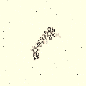 Cn1c(=O)c2c(CC(=O)Nc3nc(-c4cccc(OC(F)(F)F)c4)cs3)csc2n(C)c1=O